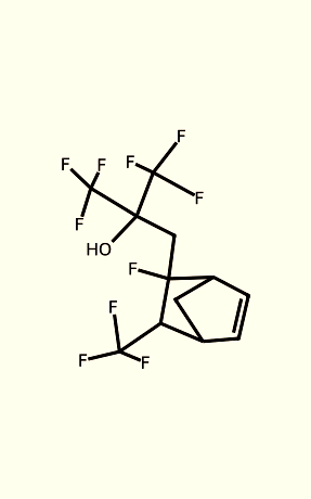 OC(CC1(F)C2C=CC(C2)C1C(F)(F)F)(C(F)(F)F)C(F)(F)F